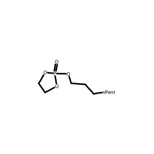 CCCCCCCCOP1(=O)OCCO1